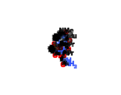 CCCC(=O)NC(C(=O)N[C@@H](CCCNC(N)=O)C(=O)Nc1ccccc1S(=O)(=O)NC(=O)/C(C)=C/[C@H](C(C)C)N(C)C(=O)C(NC(=O)[C@@H](NC)C(C)(C)c1ccccc1)C(C)(C)C)C(C)C